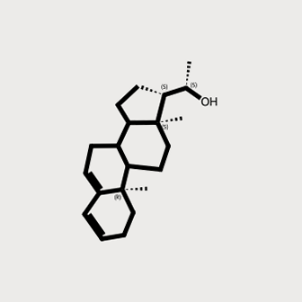 C[C@H](O)[C@H]1CCC2C3CC=C4C=CCC[C@]4(C)C3CC[C@@]21C